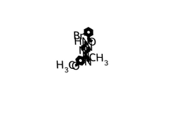 COc1ccc2c(c1)nc(C)n2-c1cnc(NC(=O)c2ccccc2Br)cn1